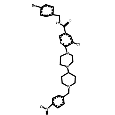 O=C(NCc1ccc(Br)cc1)c1cnc(N2CCN(C3CCN(Cc4ccc([N+](=O)[O-])cc4)CC3)CC2)c(Cl)c1